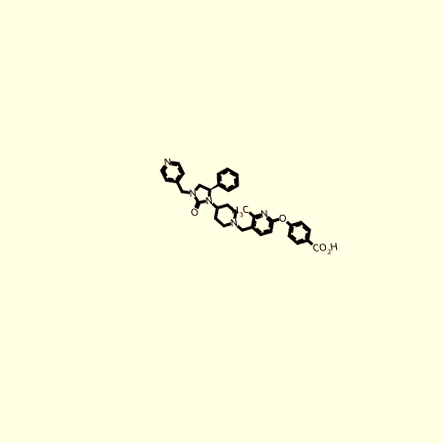 Cc1nc(Oc2ccc(C(=O)O)cc2)ccc1CN1CCC(N2C(=O)N(Cc3ccncc3)C[C@H]2c2ccccc2)CC1